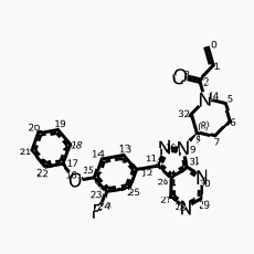 C=CC(=O)N1CCC[C@@H](n2nc(-c3ccc(Oc4ccccc4)c(F)c3)c3cncnc32)C1